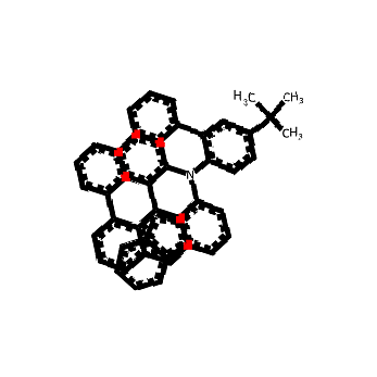 CC(C)(C)c1ccc(N(c2ccccc2-c2cccc3cccc(-c4ccccc4)c23)c2cccc3c2sc2ccccc23)c(-c2ccccc2)c1